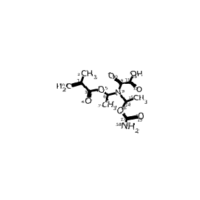 C=C(C)C(=O)OC(C)N(C(=O)C(=O)O)C(C)OC(N)=O